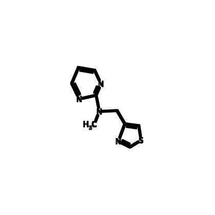 CN(Cc1cscn1)c1ncccn1